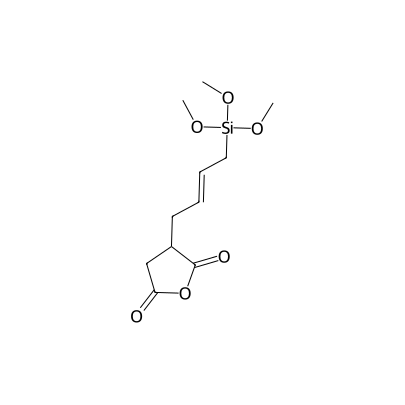 CO[Si](C/C=C/CC1CC(=O)OC1=O)(OC)OC